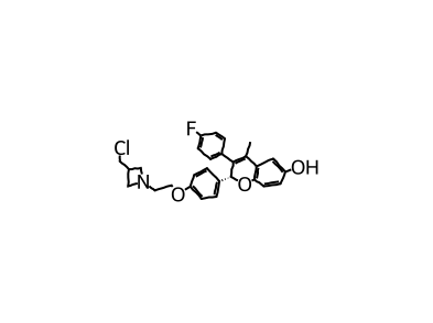 CC1=C(c2ccc(F)cc2)[C@@H](c2ccc(OCCN3CC(CCl)C3)cc2)Oc2ccc(O)cc21